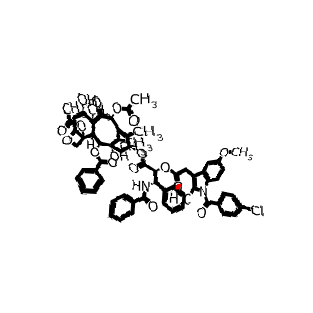 COc1ccc2c(c1)c(CC(=O)O[C@@H](C(=O)O[C@H]1C[C@@]3(O)[C@@H](OC(=O)c4ccccc4)[C@H]4[C@](C)(C(=O)[C@H](OC(C)=O)C(=C1C)C3(C)C)[C@@H](O)CC1OC[C@]14OC(C)=O)[C@@H](NC(=O)c1ccccc1)c1ccccc1)c(C)n2C(=O)c1ccc(Cl)cc1